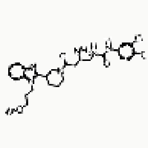 COCCCn1c(C2CCCN(C(=O)CC(N)CNC(=O)Nc3ccc(Cl)c(Cl)c3)C2)nc2ccccc21